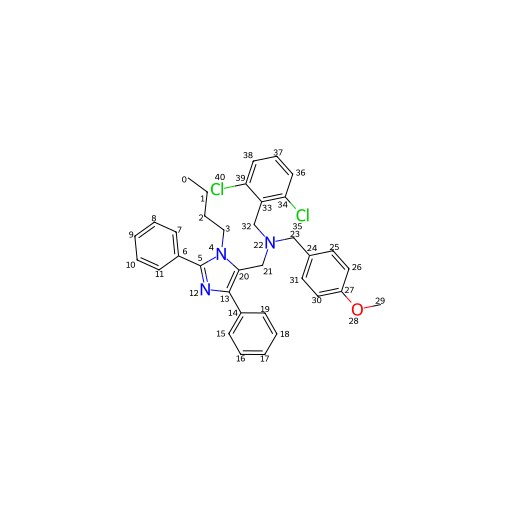 CCCCn1c(-c2ccccc2)nc(-c2ccccc2)c1CN(Cc1ccc(OC)cc1)Cc1c(Cl)cccc1Cl